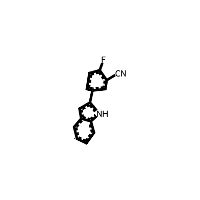 N#Cc1cc(-c2cc3c[c]ccc3[nH]2)ccc1F